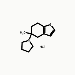 CC1(N2CCCC2)CCc2sccc2C1.Cl